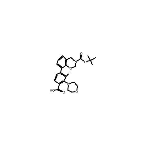 CC(C)(C)OC(=O)N1COc2c(cccc2-c2ccc(C(=O)O)c(N3CCOCC3)c2F)C1